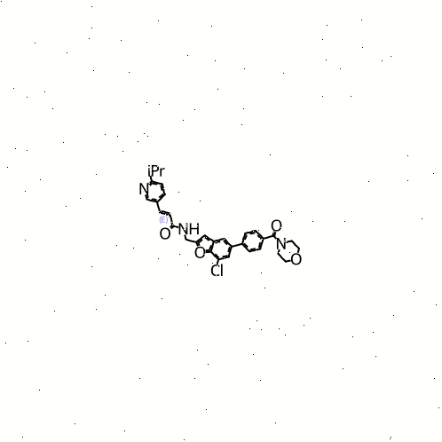 CC(C)c1ccc(/C=C/C(=O)NCc2cc3cc(-c4ccc(C(=O)N5CCOCC5)cc4)cc(Cl)c3o2)cn1